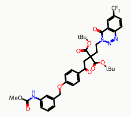 COC(=O)Nc1cccc(COc2ccc(C(=O)CC(CCn3nnc4ccc(C(F)(F)F)cc4c3=O)(C(=O)OC(C)(C)C)C(=O)OC(C)(C)C)cc2)c1